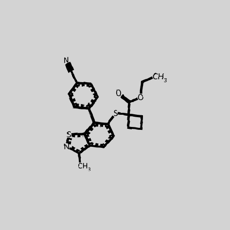 CCOC(=O)C1(Sc2ccc3c(C)nsc3c2-c2ccc(C#N)cc2)CCC1